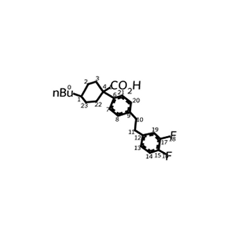 CCCCC1CCC(C(=O)O)(c2ccc(CCc3ccc(F)c(F)c3)cc2)CC1